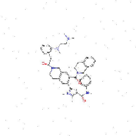 Cc1c(C(=O)N(C)c2ccccc2)cc(-c2cc3c(cc2C(=O)N2Cc4ccccc4C[C@H]2C)CN(C(=O)Cc2ccccc2N(C)CCN(C)C)CC3)n1C